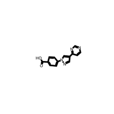 O=C(O)c1ccc(-n2cc(-c3ccncn3)cn2)cc1